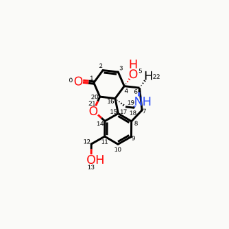 O=C1C=C[C@@]2(O)[C@H]3Cc4ccc(CO)c5c4[C@@]2(CCN3)C1O5